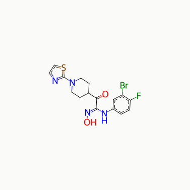 O=C(/C(=N/O)Nc1ccc(F)c(Br)c1)C1CCN(c2nccs2)CC1